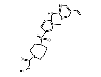 C=Cc1cnc(Nc2ccc(S(=O)(=O)N3CCCN(C(=O)OC(C)(C)C)CC3)cc2C)nc1